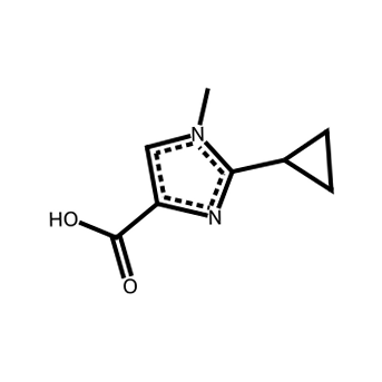 Cn1cc(C(=O)O)nc1C1CC1